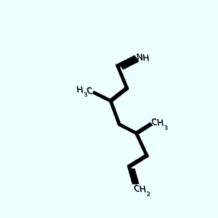 C=CCC(C)CC(C)CC=N